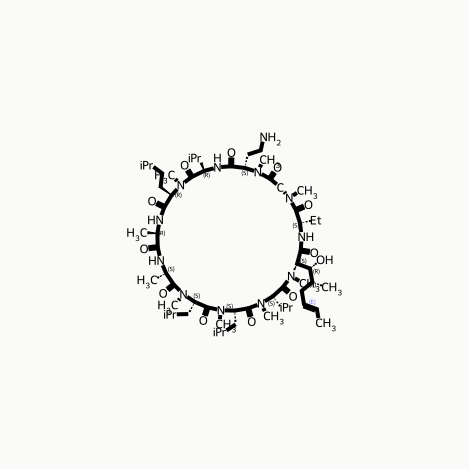 C/C=C/C[C@@H](C)[C@@H](O)[C@H]1C(=O)N[C@@H](CC)C(=O)N(C)CC(=O)N(C)[C@@H](CCN)C(=O)N[C@H](C(C)C)C(=O)N(C)[C@H](CCC(C)C)C(=O)N[C@H](C)C(=O)N[C@@H](C)C(=O)N(C)[C@@H](CC(C)C)C(=O)N(C)[C@@H](CC(C)C)C(=O)N(C)[C@@H](C(C)C)C(=O)N1C